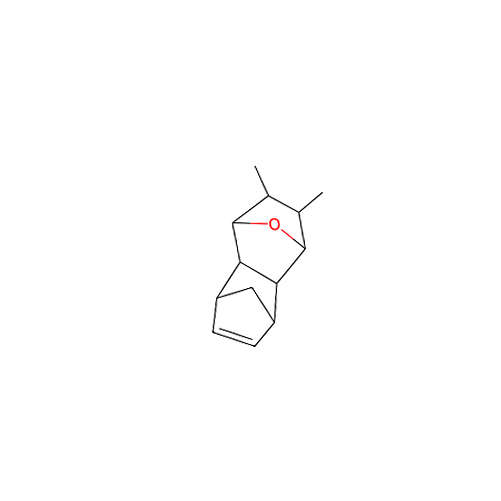 CC1C(C)C2OC1C1C3C=CC(C3)C21